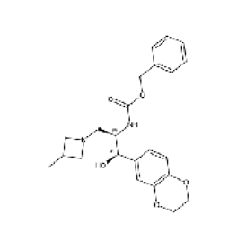 CC1CN(C[C@@H](NC(=O)OCc2ccccc2)[C@H](O)c2ccc3c(c2)OCCO3)C1